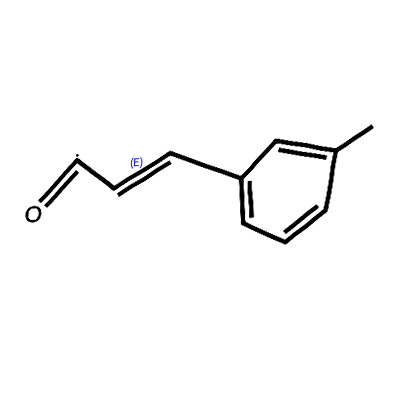 Cc1cccc(/C=C/[C]=O)c1